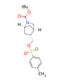 Cc1ccc(S(=O)(=O)OC[C@@H]2C[C@@H]3C[C@H]2CN3C(=O)OC(C)(C)C)cc1